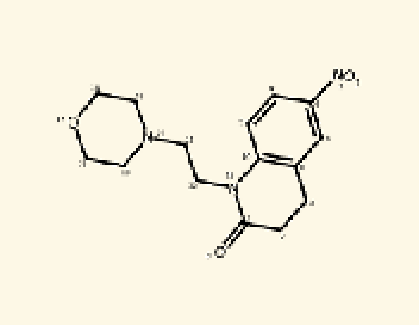 O=C1CCc2cc([N+](=O)[O-])ccc2N1CCN1CCOCC1